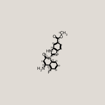 COC(=O)c1ccc2nc(-n3c(=O)cc(N)c4c(F)cccc43)[nH]c2c1